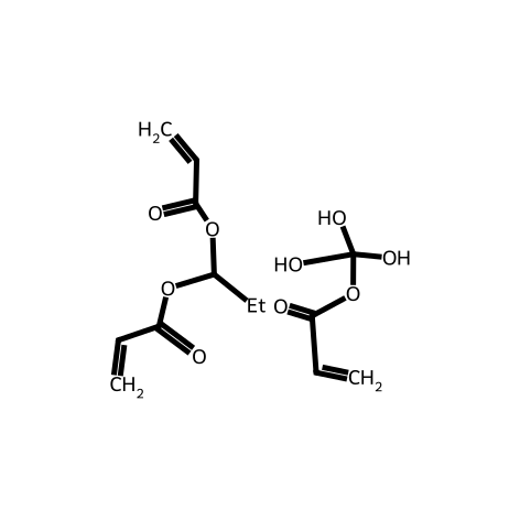 C=CC(=O)OC(CC)OC(=O)C=C.C=CC(=O)OC(O)(O)O